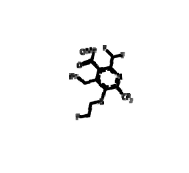 COC(=O)c1c(C(F)F)nc(C(F)(F)F)c(SCCF)c1CC(C)C